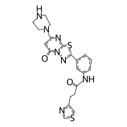 O=C(CCc1cscn1)Nc1cccc(-c2nn3c(=O)cc(N4CCNCC4)nc3s2)c1